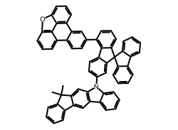 CC1(C)c2ccccc2-c2cc3c4ccccc4n(-c4ccc5c(c4)C4(c6ccccc6-c6ccccc64)c4cccc(-c6ccc7c(c6)c6cccc8oc9cccc7c9c86)c4-5)c3cc21